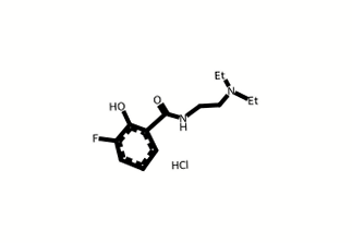 CCN(CC)CCNC(=O)c1cccc(F)c1O.Cl